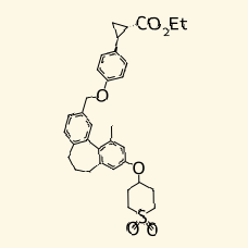 CCOC(=O)[C@H]1C[C@@H]1c1ccc(OCc2ccc3c(c2)-c2c(C)cc(OC4CCS(=O)(=O)CC4)cc2CCC3)cc1